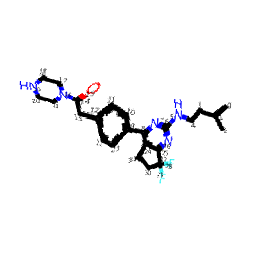 CC(C)CCNc1nc(-c2ccc(CC(=O)N3CCNCC3)cc2)c2c(n1)C(F)(F)CC2